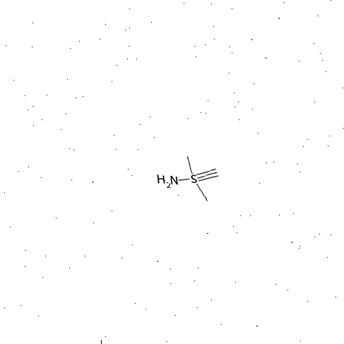 C#S(C)(C)N